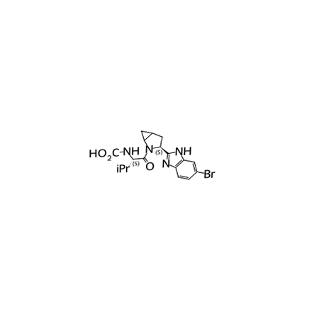 CC(C)[C@H](NC(=O)O)C(=O)N1C2CC2C[C@H]1c1nc2ccc(Br)cc2[nH]1